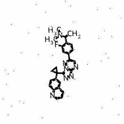 C=C(c1ccc(-c2cnc3nnc(C4(c5ccc6ncccc6c5)CC4)n3n2)cc1F)N(C)C